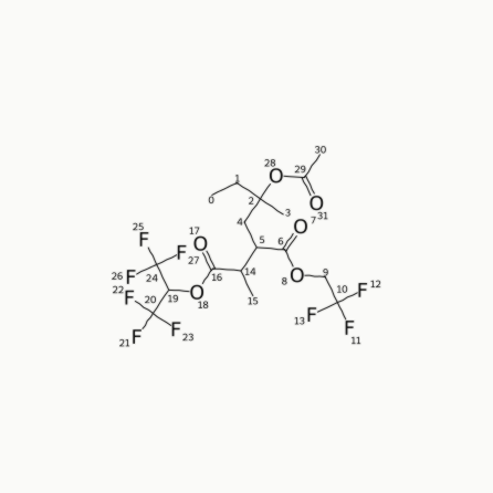 CCC(C)(CC(C(=O)OCC(F)(F)F)C(C)C(=O)OC(C(F)(F)F)C(F)(F)F)OC(C)=O